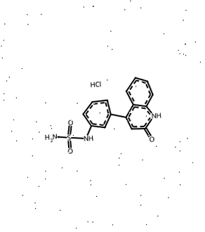 Cl.NS(=O)(=O)Nc1cccc(-c2cc(=O)[nH]c3ccccc23)c1